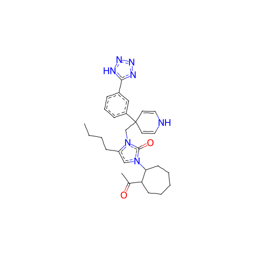 CCCCc1cn(C2CCCCCC2C(C)=O)c(=O)n1CC1(c2cccc(-c3nnn[nH]3)c2)C=CNC=C1